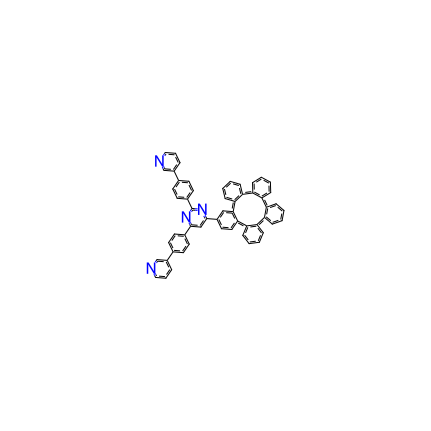 c1cncc(-c2ccc(-c3cc(-c4ccc5c6ccccc6c6ccccc6c6ccccc6c6ccccc6c5c4)nc(-c4ccc(-c5cccnc5)cc4)n3)cc2)c1